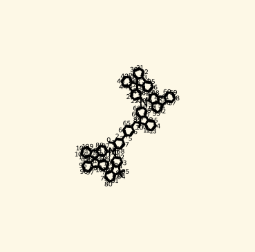 Cc1cc(-c2ccc(CC3(C)c4ccccc4-c4cc(N(c5ccc6c(c5)C5(c7ccccc7-c7ccccc75)c5ccccc5-6)c5ccc6c7c(cccc57)-c5ccccc5-6)ccc43)cc2)ccc1N(c1ccc2c(c1)-c1ccccc1C2(C)C)c1ccc2c(c1)C1(c3ccccc3-c3ccccc31)c1ccccc1-2